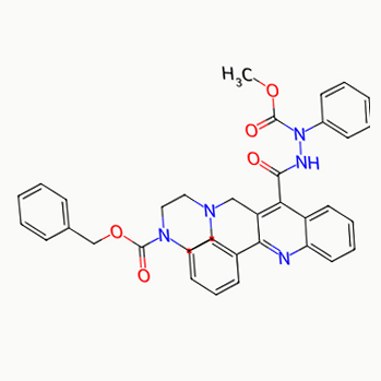 COC(=O)N(NC(=O)c1c(CN2CCN(C(=O)OCc3ccccc3)CC2)c(-c2ccccc2)nc2ccccc12)c1ccccc1